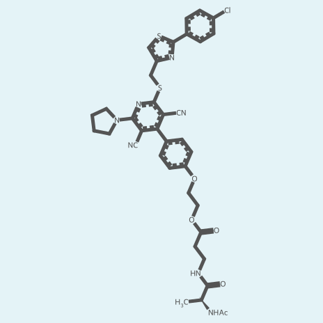 CC(=O)N[C@@H](C)C(=O)NCCC(=O)OCCOc1ccc(-c2c(C#N)c(SCc3csc(-c4ccc(Cl)cc4)n3)nc(N3CCCC3)c2C#N)cc1